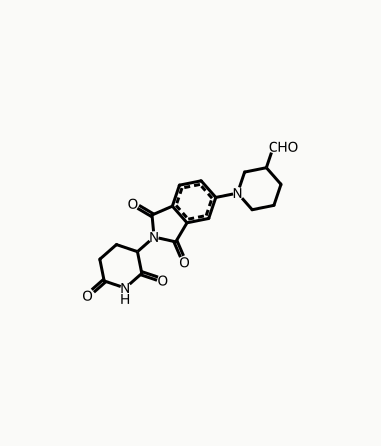 O=CC1CCCN(c2ccc3c(c2)C(=O)N(C2CCC(=O)NC2=O)C3=O)C1